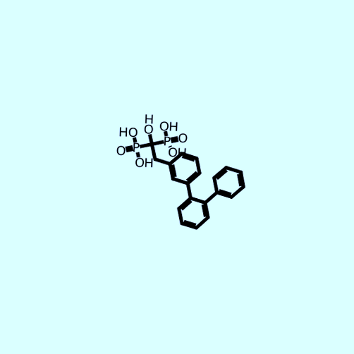 O=P(O)(O)C(O)(Cc1cccc(-c2ccccc2-c2ccccc2)c1)P(=O)(O)O